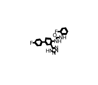 O=C(Nc1ccccc1F)Nc1ccc(-c2ccc(F)cc2)cc1-c1nnn[nH]1